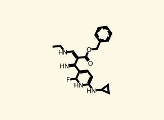 CCN/C=C(\C(=N)C1=CC=C(NC2CC2)NC1F)C(=O)OCc1ccccc1